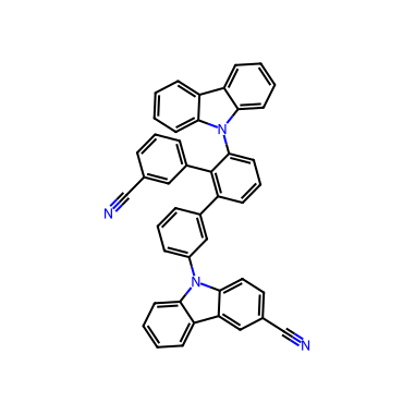 N#Cc1cccc(-c2c(-c3cccc(-n4c5ccccc5c5cc(C#N)ccc54)c3)cccc2-n2c3ccccc3c3ccccc32)c1